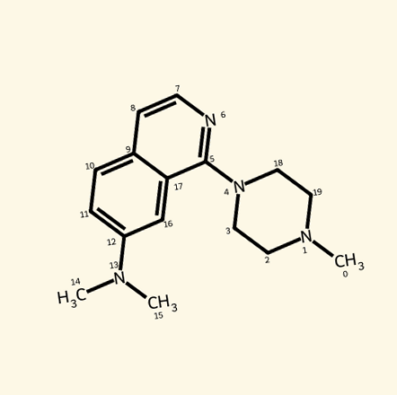 CN1CCN(c2nccc3ccc(N(C)C)cc23)CC1